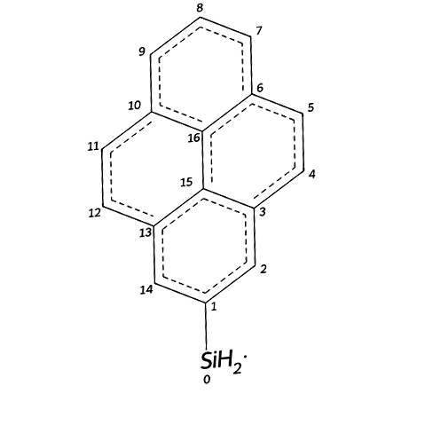 [SiH2]c1cc2ccc3cccc4ccc(c1)c2c34